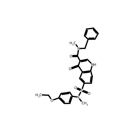 CCOc1ccc(N(C)S(=O)(=O)c2ccc3[nH]cc(C(=O)N(C)Cc4ccccc4)c(=O)c3c2)cc1